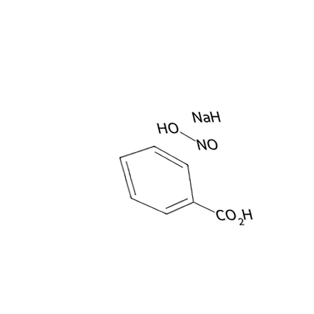 O=C(O)c1ccccc1.O=NO.[NaH]